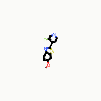 COc1ccc2nc(-c3ccncc3F)sc2c1